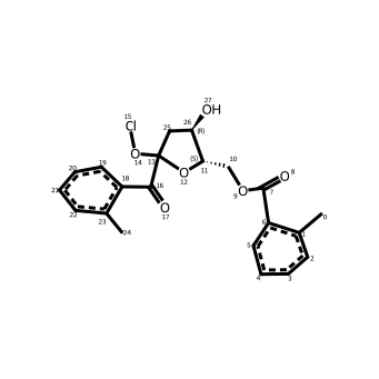 Cc1ccccc1C(=O)OC[C@@H]1OC(OCl)(C(=O)c2ccccc2C)C[C@H]1O